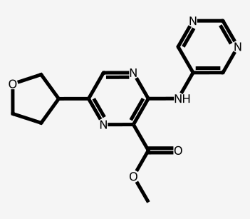 COC(=O)c1nc(C2CCOC2)cnc1Nc1cncnc1